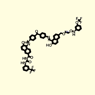 O=C(NC(=O)c1ccc2c(N=Nc3ccc(C(=O)c4ccc(N=Nc5c(O)ccc6cc(CO/N=C/ONc7cccc(OC(F)(F)F)c7)ccc56)cc4)cc3)c(O)ccc2c1)Nc1cccc(C(F)(F)F)c1